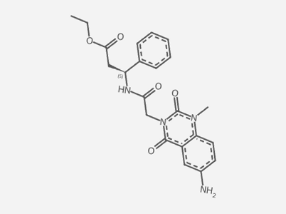 CCOC(=O)C[C@H](NC(=O)Cn1c(=O)c2cc(N)ccc2n(C)c1=O)c1ccccc1